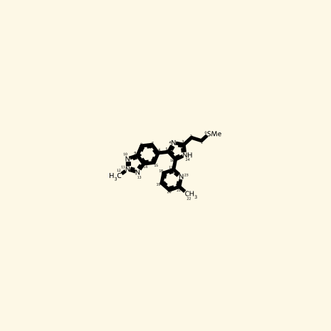 CSCCc1nc(-c2ccc3nn(C)nc3c2)c(-c2cccc(C)n2)[nH]1